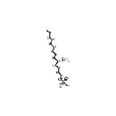 CCCCCCCCCCCCCCOS(C)(=O)=O.P